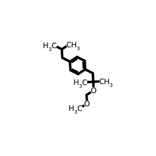 COCOC(C)(C)Cc1ccc(CC(C)C)cc1